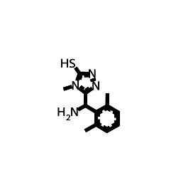 Cc1cccc(C)c1C(N)c1nnc(S)n1C